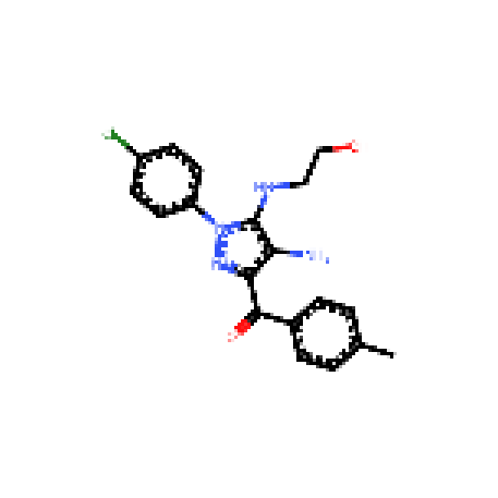 Cc1ccc(C(=O)c2nn(-c3ccc(Cl)cc3)c(NCCO)c2N)cc1